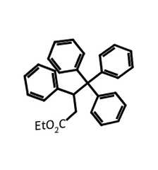 CCOC(=O)CC(c1ccccc1)C(c1ccccc1)(c1ccccc1)c1ccccc1